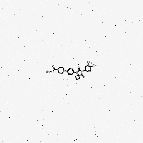 CC(C)(C)OC(=O)N1CCN(c2ccc(N3C(=S)N(c4ccc(C#N)c(C(F)(F)F)c4)C(=O)C34CCC4)cc2)CC1